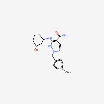 COc1ccc(CN2C=CC(C(N)=O)=C(NC3CCCC(O)C3)N2)cc1